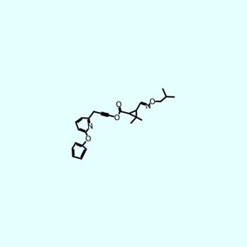 CC(C)CON=CC1C(C(=O)OC#CCc2cccc(Oc3ccccc3)n2)C1(C)C